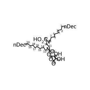 CCCCCCCCCCCCCCCCCCN(CCN(CCCCCCCCCCCCCCCCCC)C(=O)OC1OC(=O)C(O)=C1O)C(=O)O